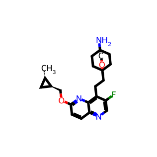 C[C@H]1C[C@@H]1COc1ccc2ncc(F)c(CCC34CCC(N)(CC3)CO4)c2n1